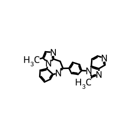 Cc1cnc2n1-c1ccccc1N=C(c1ccc(-n3c(C)nc4cnccc43)cc1)C2